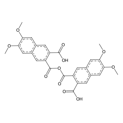 COc1cc2cc(C(=O)O)c(C(=O)OC(=O)c3cc4cc(OC)c(OC)cc4cc3C(=O)O)cc2cc1OC